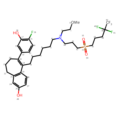 COCCN(CCCCCCC1=C(c2ccc(F)c(O)c2)CCCc2cc(O)ccc21)CCCS(=O)(=O)CCCC(F)(F)C(F)(F)F